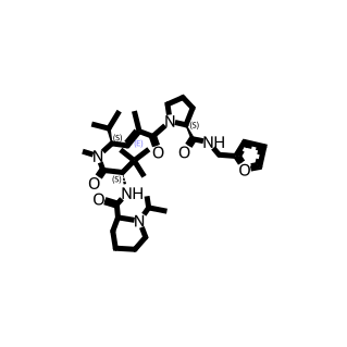 C/C(=C\[C@H](C(C)C)N(C)C(=O)[C@@H](NC(=O)C1CCCCN1C(C)C)C(C)(C)C)C(=O)N1CCC[C@H]1C(=O)NCc1ccco1